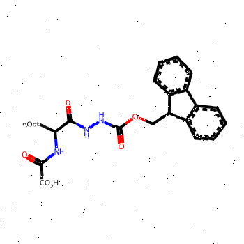 CCCCCCCCC(NC(=O)C(=O)O)C(=O)NNC(=O)OCC1c2ccccc2-c2ccccc21